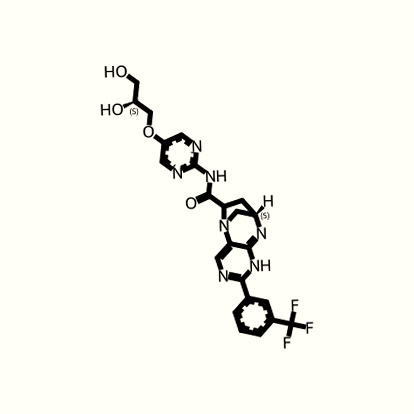 O=C(Nc1ncc(OC[C@@H](O)CO)cn1)C1C[C@H]2CN1C1=CN=C(c3cccc(C(F)(F)F)c3)NC1=N2